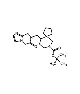 CC(C)(C)OC(=O)N1CCC(CN2Cc3nccn3CC2=O)C2(CCCC2)C1